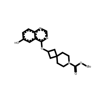 CC(C)(C)OC(=O)N1CCC2(CC1)CC(Oc1ncnc3ccc(O)cc13)C2